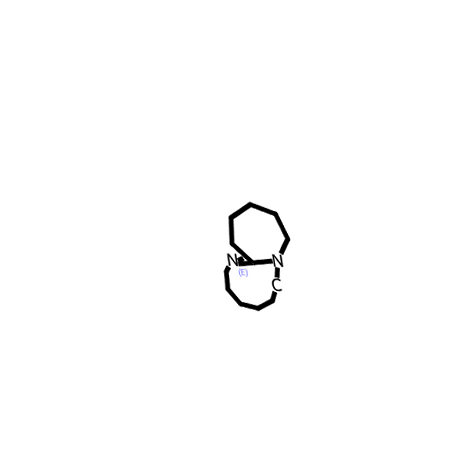 C1CCCN2CCCCC/C2=N\CC1